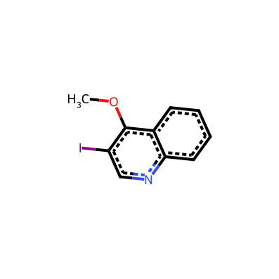 COc1c(I)cnc2ccccc12